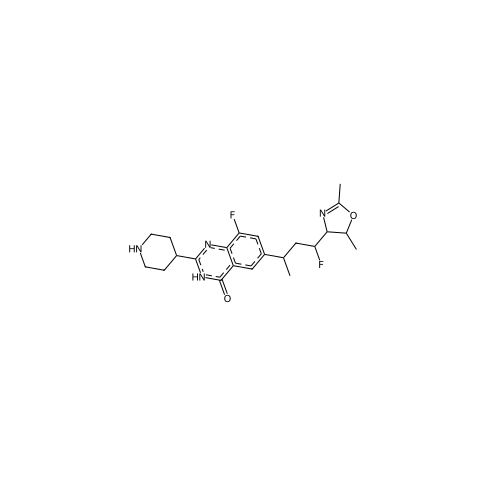 CC1=NC(C(F)CC(C)c2cc(F)c3nc(C4CCNCC4)[nH]c(=O)c3c2)C(C)O1